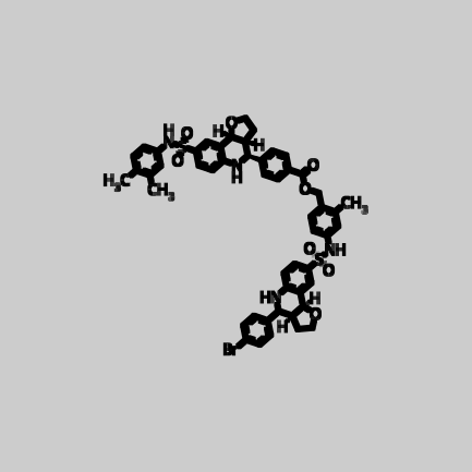 Cc1ccc(NS(=O)(=O)c2ccc3c(c2)[C@@H]2OCC[C@@H]2[C@@H](c2ccc(C(=O)OCc4ccc(NS(=O)(=O)c5ccc6c(c5)[C@H]5OCC[C@H]5C(c5ccc(Br)cc5)N6)cc4C)cc2)N3)cc1C